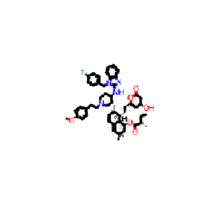 CC[C@H](C)C(=O)O[C@H]1C[C@@H](C)C=C2C=C[C@H](C)[C@H](CC[C@@H]3C[C@@H](O)CC(=O)O3)[C@H]21.COc1ccc(CCN2CCC(Nc3nc4ccccc4n3Cc3ccc(F)cc3)CC2)cc1